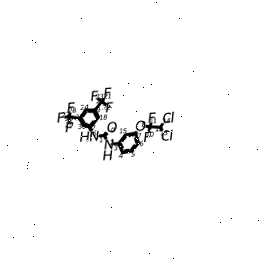 O=C(Nc1cccc(OC(F)(F)C(Cl)Cl)c1)Nc1cc(C(F)(F)F)cc(C(F)(F)F)c1